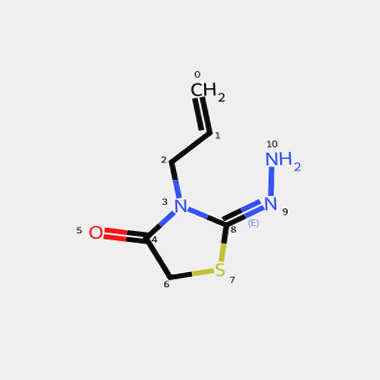 C=CCN1C(=O)CS/C1=N/N